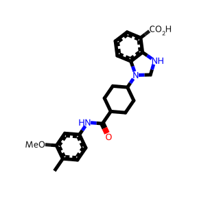 COc1cc(NC(=O)C2CCC(N3CNc4c(C(=O)O)cccc43)CC2)ccc1C